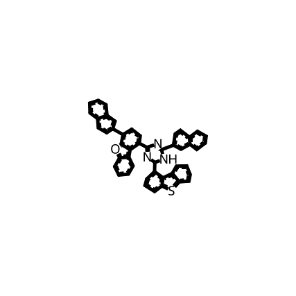 c1ccc2cc(C3=NC(c4ccc(-c5ccc6ccccc6c5)c5oc6ccccc6c45)=NC(c4cccc5sc6ccccc6c45)N3)ccc2c1